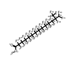 O=C(OF)C(F)(F)C(F)(F)C(F)(F)C(F)(F)C(F)(F)C(F)(F)C(F)(F)C(F)(F)C(F)(F)C(F)(F)C(F)(F)C(F)(C(F)F)C(F)(F)F